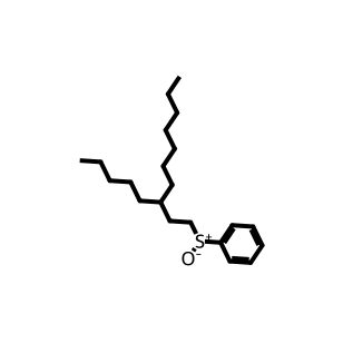 CCCCCCCC(CCCCC)CC[S+]([O-])c1ccccc1